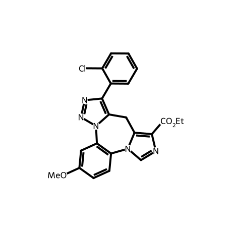 CCOC(=O)c1ncn2c1Cc1c(-c3ccccc3Cl)nnn1-c1cc(OC)ccc1-2